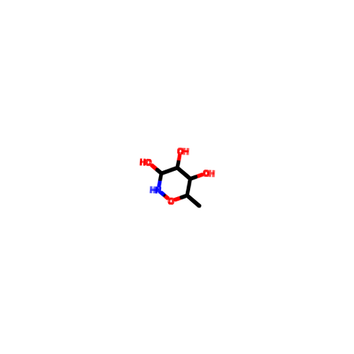 CC1ONC(O)C(O)C1O